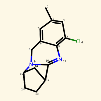 Cc1cc(Cl)c2c(c1)CN1C(=N2)C2CCC1C2